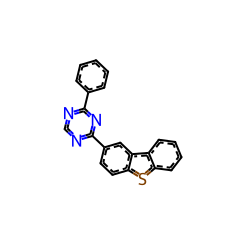 c1ccc(-c2ncnc(-c3ccc4sc5ccccc5c4c3)n2)cc1